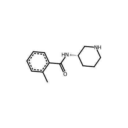 Cc1ccccc1C(=O)N[C@H]1CCCNC1